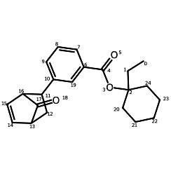 CCC1(OC(=O)c2cccc(C3CC4C=CC3C4=O)c2)CCCCC1